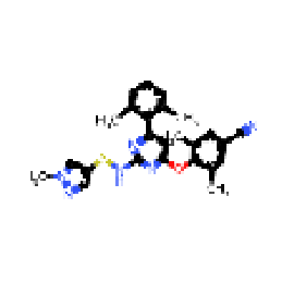 Cc1cc(C#N)cc(C)c1Oc1cc(-c2c(C)cccc2C)nc(NSc2cnn(C)c2)n1